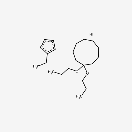 CCCOC1(OCCC)CCCCCCCC1.I.PCc1cccs1